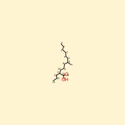 CCCCCCC(C)CCCC(CCC)C(=O)O